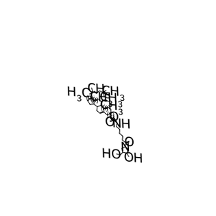 CC(C)CCC(C)C(C)[C@H]1CCC2C3CC=C4C[C@@H](OC(=O)NCCCCCC(=O)N5CC(O)C(CO)C5)CC[C@]4(C)C3CC[C@@]21C